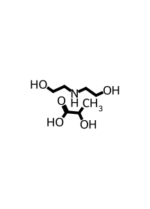 CC(O)C(=O)O.OCCNCCO